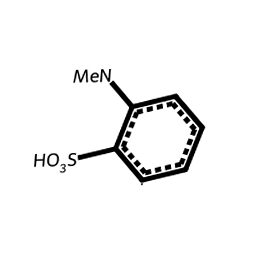 CNc1ccc[c]c1S(=O)(=O)O